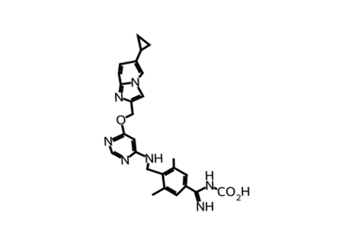 Cc1cc(C(=N)NC(=O)O)cc(C)c1CNc1cc(OCc2cn3cc(C4CC4)ccc3n2)ncn1